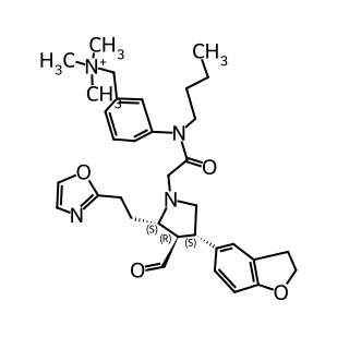 CCCCN(C(=O)CN1C[C@H](c2ccc3c(c2)CCO3)[C@@H](C=O)[C@@H]1CCc1ncco1)c1cccc(C[N+](C)(C)C)c1